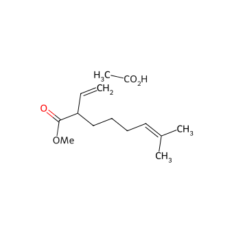 C=CC(CCCC=C(C)C)C(=O)OC.CC(=O)O